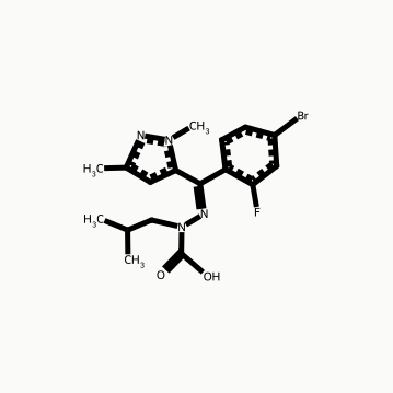 Cc1cc(C(=NN(CC(C)C)C(=O)O)c2ccc(Br)cc2F)n(C)n1